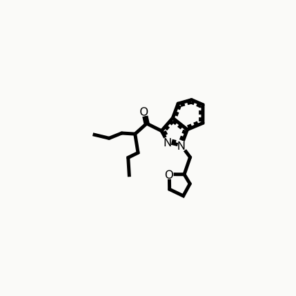 CCCC(CCC)C(=O)c1nn(CC2CCCO2)c2ccccc12